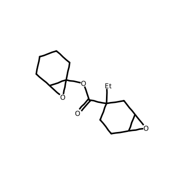 CCC1(C(=O)OC23CCCCC2O3)CCC2OC2C1